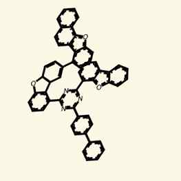 C1=CC2Oc3cccc(-c4nc(-c5ccc(-c6ccccc6)cc5)nc(-c5cccc6c5oc5ccccc56)n4)c3C2C=C1c1cccc2oc3c4ccccc4ccc3c12